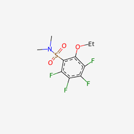 CCOc1c(F)c(F)c(F)c(F)c1S(=O)(=O)N(C)C